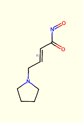 O=NC(=O)/C=C/CN1CCCC1